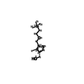 Cc1c(CO)cnn1COCC[Si](C)(C)C